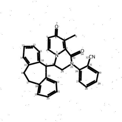 Cc1c2n(ccc1=O)C(C1c3ccccc3CCc3ccccc31)CN(c1ccccc1C#N)C2=O